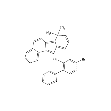 CC1(C)C=CC=C2C=c3c(ccc4ccccc34)=C21.CCc1cc(Br)ccc1-c1ccccc1